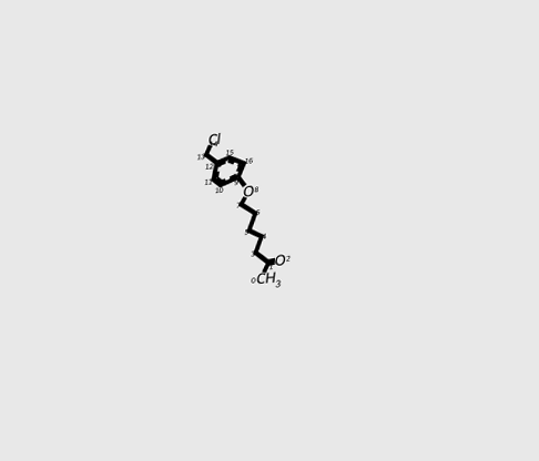 CC(=O)CCCCCOc1ccc(CCl)cc1